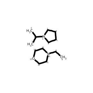 CC(C)N1CCCC1.CCN1CCOCC1